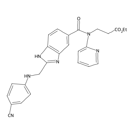 CCOC(=O)CCN(C(=O)c1ccc2[nH]c(CNc3ccc(C#N)cc3)nc2c1)c1ccccn1